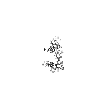 CC1CCCN(C(=O)OC(C)(C)C)[C@H](c2ncc(-c3ccc4cc(-c5ccc6c(c5)N=C([C@@H]5CCCN5C(=O)OC(C)(C)C)NC65COC5)ccc4c3)[nH]2)S1